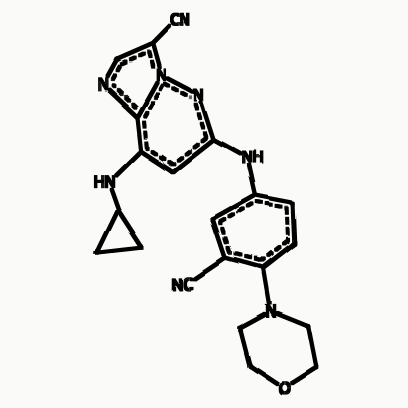 N#Cc1cc(Nc2cc(NC3CC3)c3ncc(C#N)n3n2)ccc1N1CCOCC1